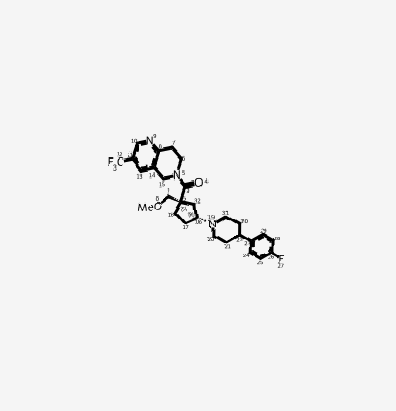 COC[C@]1(C(=O)N2CCc3ncc(C(F)(F)F)cc3C2)CC[C@@H](N2CCC(c3ccc(F)cc3)CC2)C1